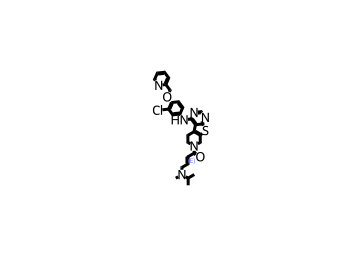 CC(C)N(C)C/C=C/C(=O)N1CCc2c(sc3ncnc(Nc4ccc(OCc5ccccn5)c(Cl)c4)c23)C1